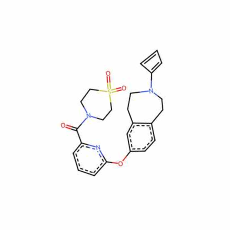 O=C(c1cccc(Oc2ccc3c(c2)CCN(C2=CC=C2)CC3)n1)N1CCS(=O)(=O)CC1